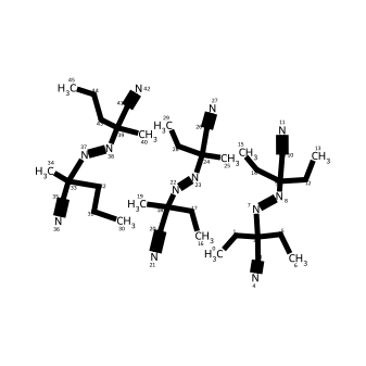 CCC(C#N)(CC)/N=N/C(C#N)(CC)CC.CCC(C)(C#N)/N=N/C(C)(C#N)CC.CCCC(C)(C#N)/N=N/C(C)(C#N)CCC